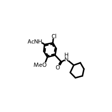 COc1cc(NC(C)=O)c(Cl)cc1C(=O)NC1CCCCC1